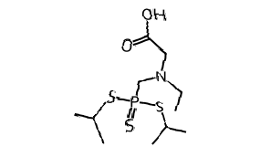 CCN(CC(=O)O)CP(=S)(SC(C)C)SC(C)C